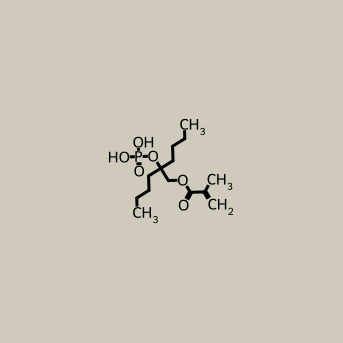 C=C(C)C(=O)OCC(CCCC)(CCCC)OP(=O)(O)O